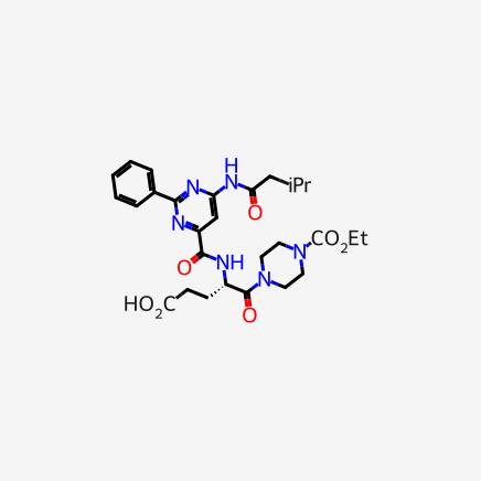 CCOC(=O)N1CCN(C(=O)[C@H](CCC(=O)O)NC(=O)c2cc(NC(=O)CC(C)C)nc(-c3ccccc3)n2)CC1